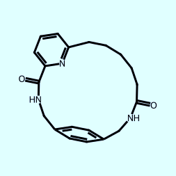 O=C1CCCCCc2cccc(n2)C(=O)NCc2ccc(cc2)CN1